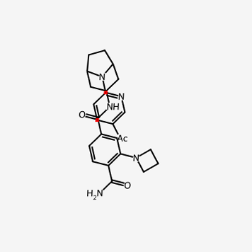 CC(=O)c1ccc(N2C3CCC2CC(NC(=O)c2ccc(C(N)=O)c(N4CCC4)c2)C3)nc1